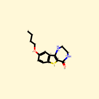 CCCCOc1ccc2sc3c(c2c1)NCCNC3=O